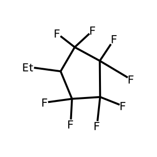 CCC1C(F)(F)C(F)(F)C(F)(F)C1(F)F